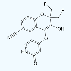 N#Cc1ccc2c(c1)C(Oc1cc[nH]c(=O)c1)=C(O)C(CF)(CF)O2